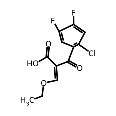 CCOC=C(C(=O)O)C(=O)c1cc(F)c(F)cc1Cl